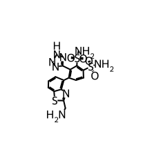 NCc1nc2c(-c3ccc(S(N)(=O)=O)c(S(N)(=O)=O)c3-c3nn[nH]n3)cccc2s1